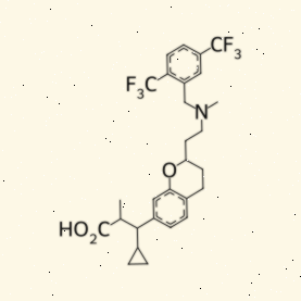 CC(C(=O)O)C(c1ccc2c(c1)OC(CCN(C)Cc1cc(C(F)(F)F)ccc1C(F)(F)F)CC2)C1CC1